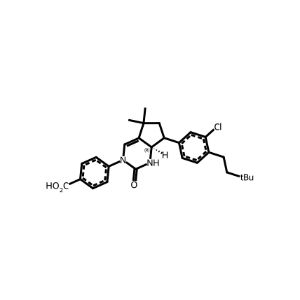 CC(C)(C)CCc1ccc(C2CC(C)(C)C3=CN(c4ccc(C(=O)O)cc4)C(=O)N[C@@H]32)cc1Cl